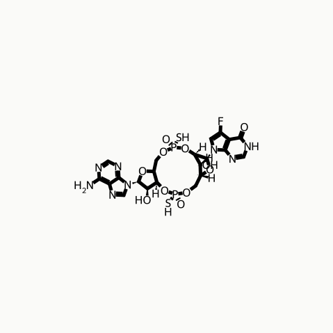 Nc1ncnc2c1ncn2[C@@H]1OC2COP(=O)(S)O[C@@H]3[C@H](O)[C@@H](COP(=O)(S)O[C@H]2[C@H]1O)O[C@H]3n1cc(F)c2c(=O)[nH]cnc21